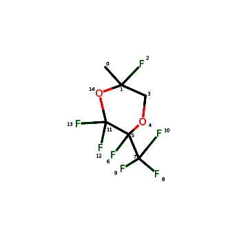 CC1(F)COC(F)(C(F)(F)F)C(F)(F)O1